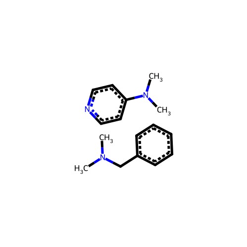 CN(C)Cc1ccccc1.CN(C)c1ccncc1